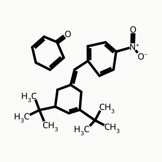 CC(C)(C)C1=CC(C(C)(C)C)CC(=Cc2ccc([N+](=O)[O-])cc2)C1.O=C1C=CCC=C1